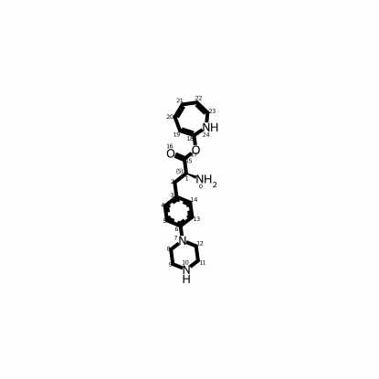 N[C@@H](Cc1ccc(N2CCNCC2)cc1)C(=O)OC1=CC=CC=CN1